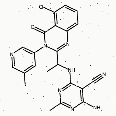 Cc1cncc(-n2c(C(C)Nc3nc(C)nc(N)c3C#N)nc3cccc(Cl)c3c2=O)c1